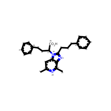 Cc1cc2c(nc(CCCc3ccccc3)n2C(CCc2ccccc2)C(=O)O)c(C)n1